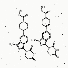 Cn1nc(N2CCC(=O)NC2=O)c2ccc(C3=CCN(C(=O)OC(C)(C)C)CC3)cc21.Cn1nc(N2CCC(=O)NC2=O)c2ccc(C3CCN(C(=O)OC(C)(C)C)CC3)cc21